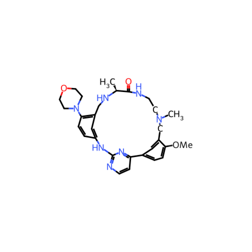 COc1ccc2cc1CN(C)CCNC(=O)[C@H](C)NCc1cc(ccc1N1CCOCC1)Nc1nccc-2n1